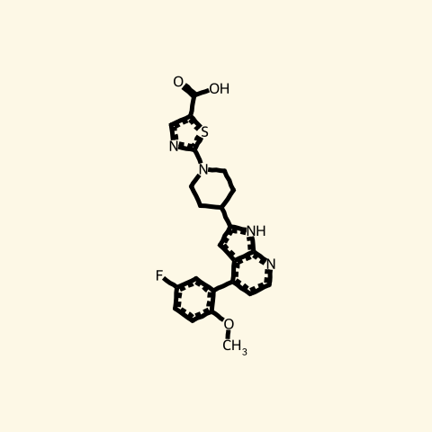 COc1ccc(F)cc1-c1ccnc2[nH]c(C3CCN(c4ncc(C(=O)O)s4)CC3)cc12